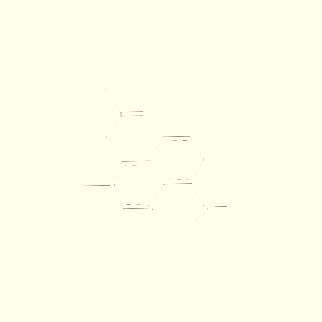 Cc1cnc2c([N+](=O)[O-])cccc2c1NC(N)=O